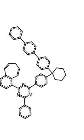 C1=Cc2cccc(-c3nc(-c4ccccc4)nc(-c4ccc(C5(c6ccc(-c7ccc(-c8ccccc8)cc7)cc6)CCCCC5)cc4)n3)c2C=CC1